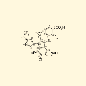 O=C(O)c1cccc(Sc2c(C3CC3)n(-c3cnn(CC(F)(F)F)c3)c3c(F)c(Cl)ccc23)c1F.[NaH]